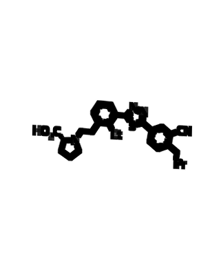 CCc1c(CCN2CCC[C@@H]2C(=O)O)cccc1-c1nnc(-c2ccc(CC(C)C)c(C#N)c2)s1